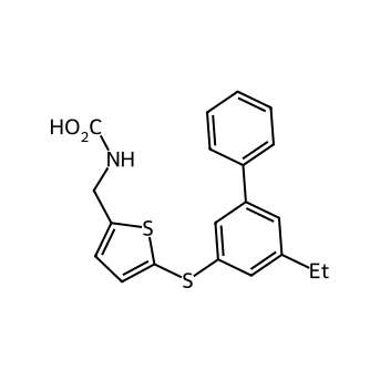 CCc1cc(Sc2ccc(CNC(=O)O)s2)cc(-c2ccccc2)c1